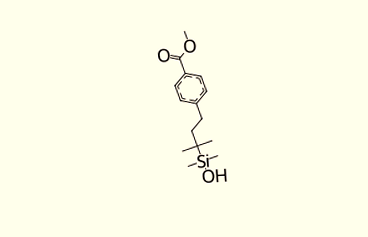 COC(=O)c1ccc(CCC(C)(C)[Si](C)(C)O)cc1